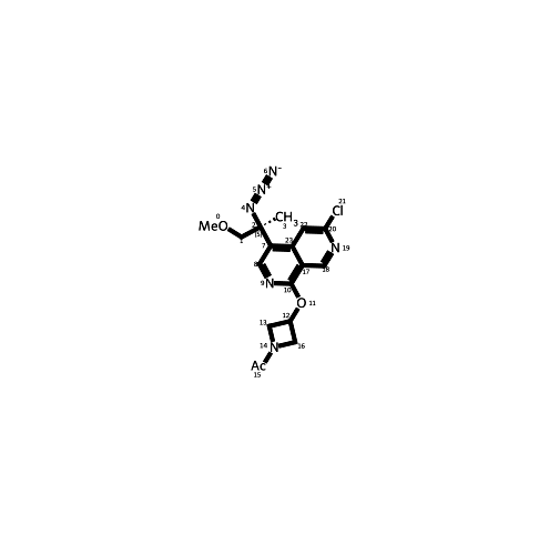 COC[C@@](C)(N=[N+]=[N-])c1cnc(OC2CN(C(C)=O)C2)c2cnc(Cl)cc12